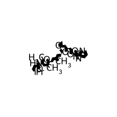 CC(/C=C/[C@@H]1C[C@]2(CO2)C[C@@H](CC(=O)On2nnc3cccnc32)O1)=C\C[C@@H]1O[C@H](C)[C@H](NC(=O)/C=C\C(C)C)C[C@@H]1C